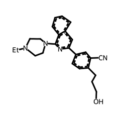 CCN1CCN(c2nc(-c3ccc(CCCO)c(C#N)c3)cc3ccccc23)CC1